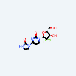 O=C1NCCN1c1ccn([C@@H]2O[C@H](CO)[C@@H](O)C2(F)F)c(=O)n1